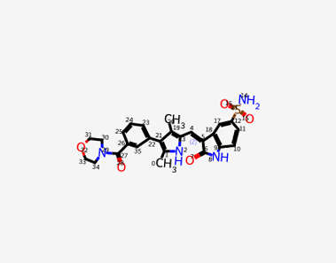 Cc1[nH]c(/C=C2\C(=O)Nc3ccc(S(N)(=O)=O)cc32)c(C)c1-c1cccc(C(=O)N2CCOCC2)c1